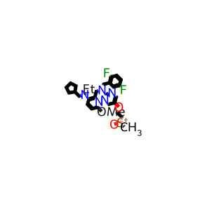 CCN(CC1CCCC1)c1ccc(OC)nc1CN(Cc1cc(F)ccc1F)c1ncc(OCC[S+](C)[O-])cn1